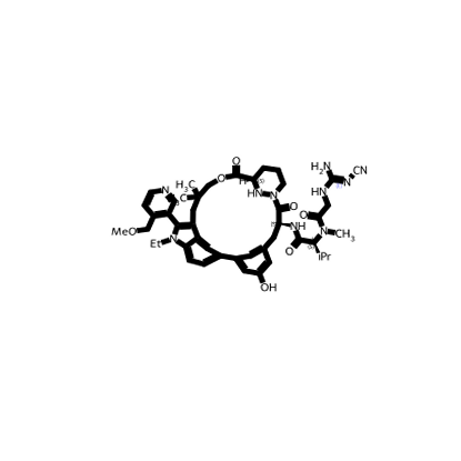 CCn1c(-c2cnccc2COC)c2c3cc(ccc31)-c1cc(O)cc(c1)C[C@H](NC(=O)[C@H](C(C)C)N(C)C(=O)CN/C(N)=N/C#N)C(=O)N1CCC[C@H](N1)C(=O)OCC(C)(C)C2